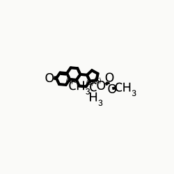 COC(=O)O[C@H]1CCC2C3CCC4=CC(=O)CC[C@]4(C)C3CC[C@@]21C